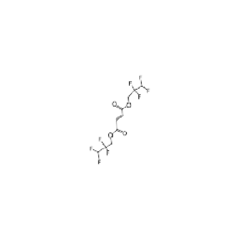 O=C(/C=C/C(=O)OCC(F)(F)C(F)F)OCC(F)(F)C(F)F